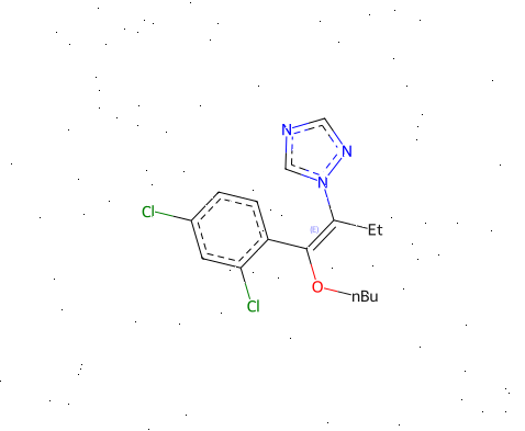 CCCCO/C(=C(\CC)n1cncn1)c1ccc(Cl)cc1Cl